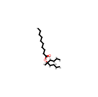 CCCCCCCCCC(=O)OC(C)(CCCC)CCCC